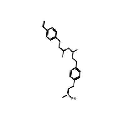 C=Cc1ccc(CCC(C)CC(C)CCc2ccc(CCP(C)P)cc2)cc1